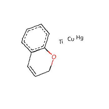 C1=Cc2ccccc2OC1.[Cu].[Hg].[Ti]